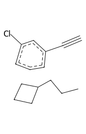 C#Cc1cccc(Cl)c1.CCCC1CCC1